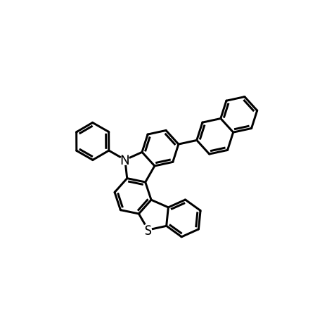 c1ccc(-n2c3ccc(-c4ccc5ccccc5c4)cc3c3c4c(ccc32)sc2ccccc24)cc1